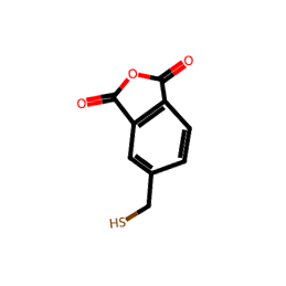 O=C1OC(=O)c2cc(CS)ccc21